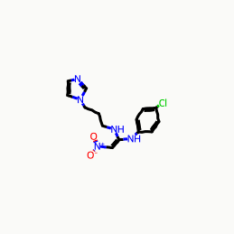 O=[N+]([O-])C=C(NCCCn1ccnc1)Nc1ccc(Cl)cc1